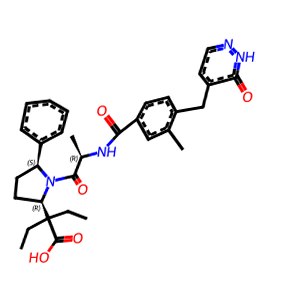 CCC(CC)(C(=O)O)[C@H]1CC[C@@H](c2ccccc2)N1C(=O)[C@@H](C)NC(=O)c1ccc(Cc2ccn[nH]c2=O)c(C)c1